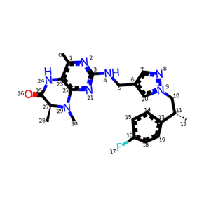 Cc1nc(NCc2cnn(C[C@H](C)c3ccc(F)cc3)c2)nc2c1NC(=O)[C@H](C)N2C